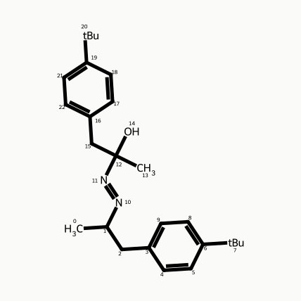 CC(Cc1ccc(C(C)(C)C)cc1)N=NC(C)(O)Cc1ccc(C(C)(C)C)cc1